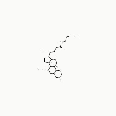 CC(=O)O[C@H]1CC2C[C@H](O)CC[C@]2(C)[C@H]2CC[C@]3(C)[C@@H]([C@H](C)CCC(=O)NCCS(=O)(=O)O)CC[C@H]3[C@H]12